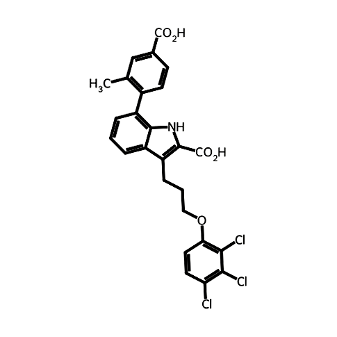 Cc1cc(C(=O)O)ccc1-c1cccc2c(CCCOc3ccc(Cl)c(Cl)c3Cl)c(C(=O)O)[nH]c12